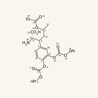 CCCOC(=O)Oc1ccc(C(CC(C)OC(=O)CC)[C@H](N)C(=O)O)cc1OC(=O)OCCC